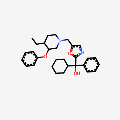 CCC1CCN(Cc2cnc(C(O)(c3ccccc3)C3CCCCC3)o2)CC1Oc1ccccc1